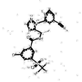 C[C@H](NC(=O)c1cc(Cl)cc(S(=O)(=O)C(F)(F)F)c1)c1ncnn1-c1cc(C#N)ccn1